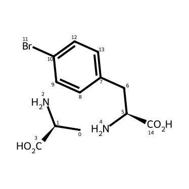 C[C@H](N)C(=O)O.N[C@@H](Cc1ccc(Br)cc1)C(=O)O